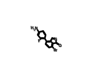 Nc1ccc(-c2ccc(Br)c3c2C=NC3=O)c(F)c1